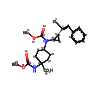 CCC(=Cc1ccccc1)[C@@H]1C[C@H]1N(C(=O)OC(C)(C)C)C1CCC(NC(=O)OC(C)(C)C)(C(=O)O)CC1